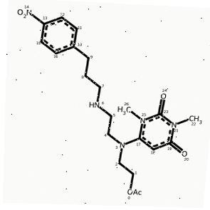 CC(=O)OCCN(CCNCCCc1ccc([N+](=O)[O-])cc1)c1cc(=O)n(C)c(=O)n1C